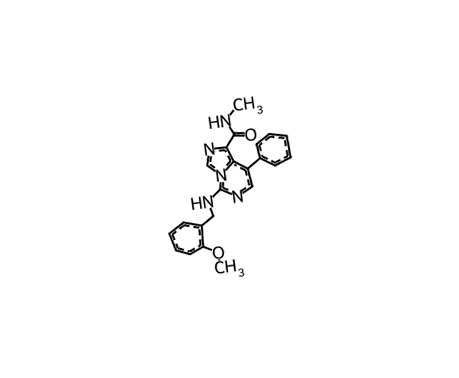 CNC(=O)c1ncn2c(NCc3ccccc3OC)ncc(-c3ccccc3)c12